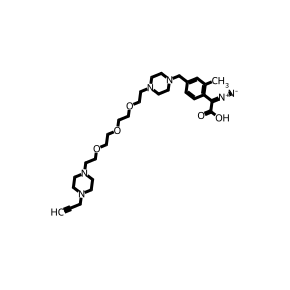 C#CCN1CCN(CCOCCOCCOCCN2CCN(Cc3ccc(C(=[N+]=[N-])C(=O)O)c(C)c3)CC2)CC1